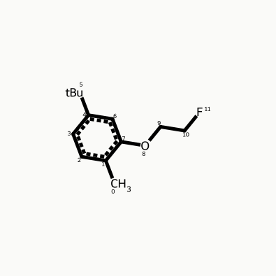 Cc1ccc(C(C)(C)C)cc1OCCF